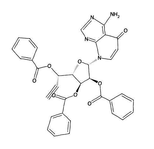 C#C[C@H](OC(=O)c1ccccc1)[C@@H]1O[C@H](n2ccc(=O)c3c(N)ncnc32)[C@@H](OC(=O)c2ccccc2)[C@H]1OC(=O)c1ccccc1